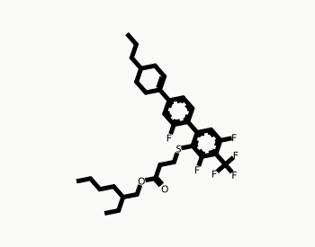 CCCCC(CC)COC(=O)CCSc1c(-c2ccc(C3=CCC(CCC)CC3)cc2F)cc(F)c(C(F)(F)F)c1F